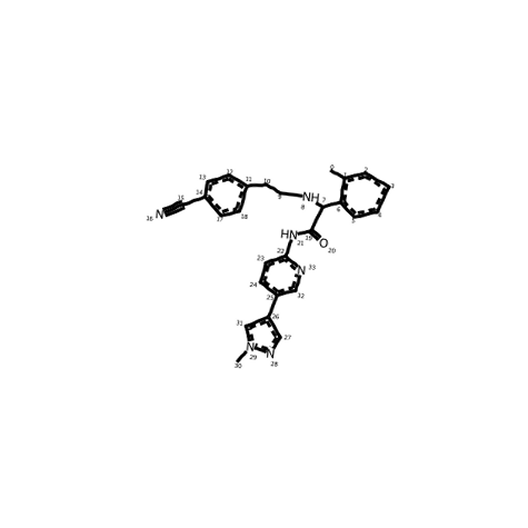 Cc1ccccc1C(NCCc1ccc(C#N)cc1)C(=O)Nc1ccc(-c2cnn(C)c2)cn1